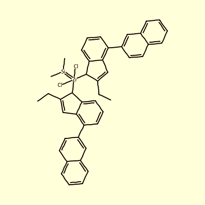 CCC1=Cc2c(-c3ccc4ccccc4c3)cccc2[CH]1[Zr]([Cl])([Cl])([CH]1C(CC)=Cc2c(-c3ccc4ccccc4c3)cccc21)=[Si](C)C